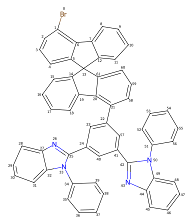 Brc1cccc2c1-c1ccccc1C21c2ccccc2-c2c(-c3cc(-c4nc5ccccc5n4-c4ccccc4)cc(-c4nc5ccccc5n4-c4ccccc4)c3)cccc21